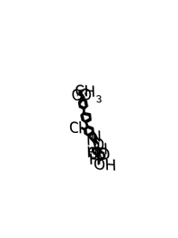 CS(=O)(=O)c1ccc(-c2ccc(-c3cc4nc(O[C@@H]5CO[C@H]6[C@@H]5OC[C@H]6O)[nH]c4cc3Cl)cc2)cc1